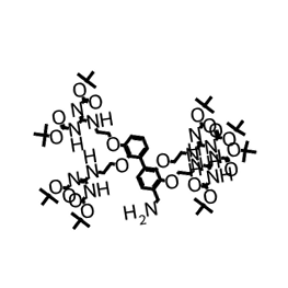 CC(C)(C)OC(=O)/N=C(/NCCOc1c(OCCN/C(=N\C(=O)OC(C)(C)C)NC(=O)OC(C)(C)C)cccc1-c1ccc(CN)c(OCCN/C(=N/C(=O)OC(C)(C)C)NC(=O)OC(C)(C)C)c1OCCN/C(=N/C(=O)OC(C)(C)C)NC(=O)OC(C)(C)C)NC(=O)OC(C)(C)C